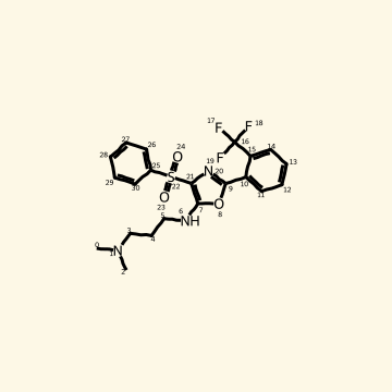 CN(C)CCCNc1oc(-c2ccccc2C(F)(F)F)nc1S(=O)(=O)c1ccccc1